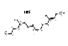 Br.C/C(=C\CO)CCC[C@H](C)CCC[C@H](C)CCCC(C)C